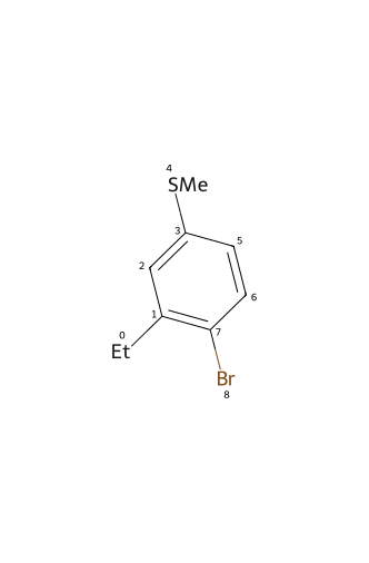 CCc1cc(SC)ccc1Br